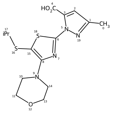 Cc1cc(C(=O)O)n(-c2nc(N3CCOCC3)c(SC(C)C)s2)n1